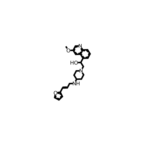 COc1cnc2cccc(C(O)CN3CCC(NCC=Cc4ccco4)CC3)c2c1